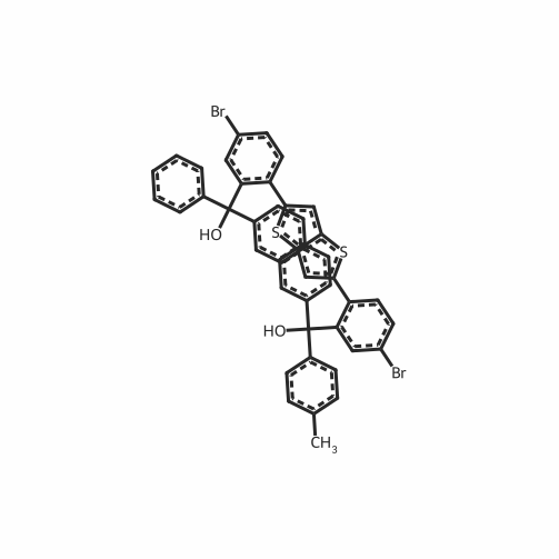 Cc1ccc(C(O)(c2ccccc2)c2cc(Br)ccc2-c2cc3sc(-c4ccc(Br)cc4C(O)(c4ccccc4)c4ccccc4)cc3s2)cc1